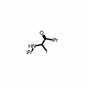 CC(C)NC(I)C(=O)C(C)C